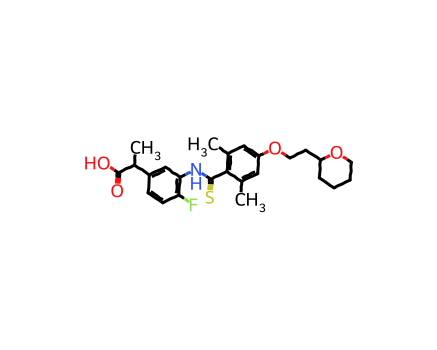 Cc1cc(OCCC2CCCCO2)cc(C)c1C(=S)Nc1cc(C(C)C(=O)O)ccc1F